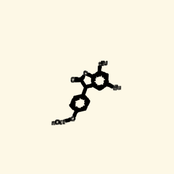 CCCCCCCCOc1ccc(C2C(=O)Oc3c2cc(C(C)(C)C)cc3C(C)(C)C)cc1